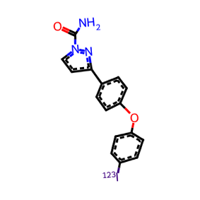 NC(=O)n1ccc(-c2ccc(Oc3ccc([123I])cc3)cc2)n1